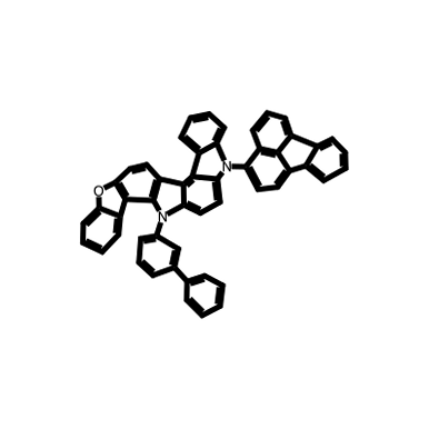 c1ccc(-c2cccc(-n3c4ccc5c(c6ccccc6n5-c5ccc6c7c(cccc57)-c5ccccc5-6)c4c4ccc5oc6ccccc6c5c43)c2)cc1